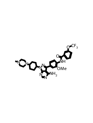 COc1cc(-c2nn(C3CCC(N4CCN(C)CC4)CC3)c3ncnc(N)c23)ccc1NC(=O)c1cccc(OC(F)(F)F)c1